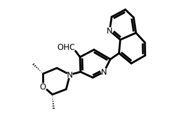 C[C@@H]1CN(c2cnc(-c3cccc4cccnc34)cc2C=O)C[C@H](C)O1